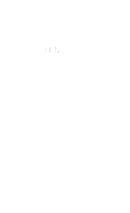 NC(CC[CH]CCCc1ccccc1)c1ccccc1